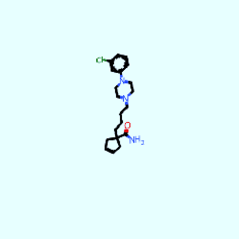 NC(=O)C1(CCCCN2CCN(c3cccc(Cl)c3)CC2)CC=CC1